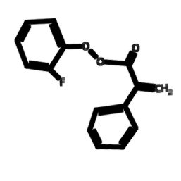 C=C(C(=O)OOc1ccccc1F)c1ccccc1